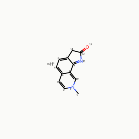 CN1C=Cc2ccc3c(c2=C1)=NC(=O)C3.[H+]